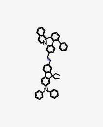 CCC1(CC)c2cc(/C=C/c3ccc(-c4c(-c5ccccc5)cccc4-c4nccc5ccccc45)cc3)ccc2-c2ccc(N(c3ccccc3)c3ccccc3)cc21